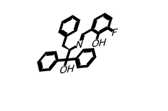 Oc1c(F)cccc1C=N[C@H](Cc1ccccc1)C(O)(c1ccccc1)c1ccccc1